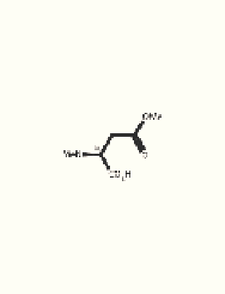 CN[C@@H](CC(=O)OC)C(=O)O